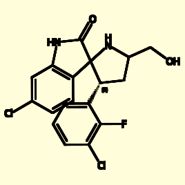 O=C1Nc2cc(Cl)ccc2C12NC(CO)C[C@@H]2c1cccc(Cl)c1F